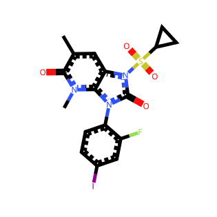 Cc1cc2c(n(C)c1=O)n(-c1ccc(I)cc1F)c(=O)n2S(=O)(=O)C1CC1